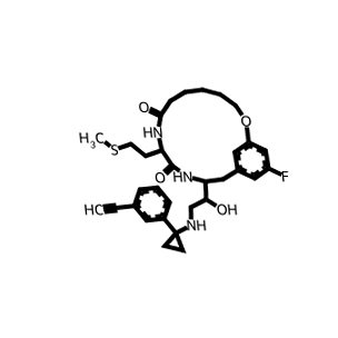 C#Cc1cccc(C2(NCC(O)C3Cc4cc(F)cc(c4)OCCCCCC(=O)NC(CCSC)C(=O)N3)CC2)c1